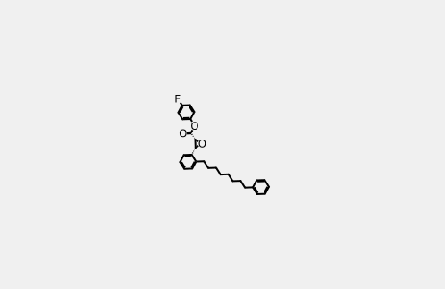 O=C(Oc1ccc(F)cc1)[C@@H]1O[C@@H]1c1ccccc1CCCCCCCCc1ccccc1